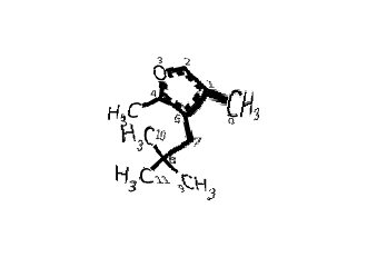 Cc1coc(C)c1CC(C)(C)C